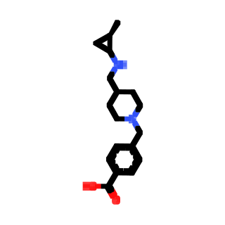 C[C@@H]1CC1NCC1CCN(Cc2ccc(C(=O)O)cc2)CC1